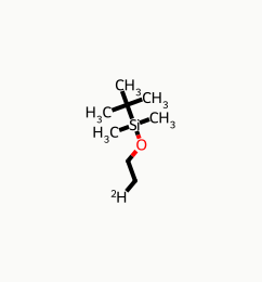 [2H]CCO[Si](C)(C)C(C)(C)C